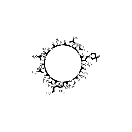 C/C=C/C[C@@H](C)[C@@H](O)[C@H]1C(=O)N[C@@H](CC)C(=O)N(C)[C@H](C)C(=O)N(C)[C@@H]([C@H](C)CN2CCC(F)(F)C2)C(=O)N[C@@H](C(C)C)C(=O)N(C)[C@@H](CC(C)C)C(=O)N[C@@H](C)C(=O)N[C@H](C)C(=O)N(C)[C@@H](CC(C)C)C(=O)N(C)[C@@H](CC(C)C)C(=O)N(C)[C@@H](C(C)C)C(=O)N1C